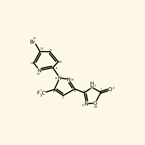 O=c1[nH]c(-c2cc(C(F)(F)F)n(-c3ccc(Br)cn3)n2)no1